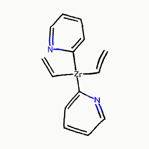 C=[CH][Zr]([CH]=C)([c]1ccccn1)[c]1ccccn1